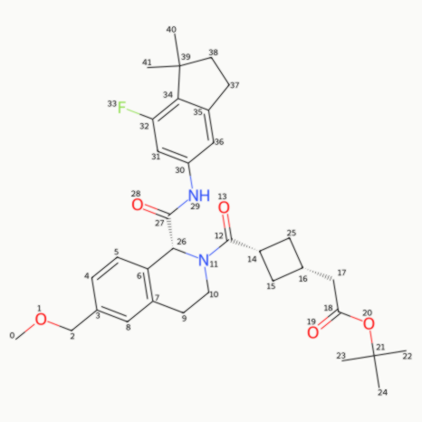 COCc1ccc2c(c1)CCN(C(=O)[C@H]1C[C@@H](CC(=O)OC(C)(C)C)C1)[C@H]2C(=O)Nc1cc(F)c2c(c1)CCC2(C)C